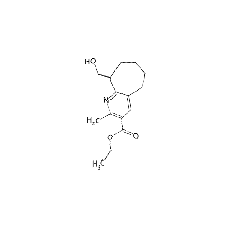 CCOC(=O)c1cc2c(nc1C)C(CO)CCCC2